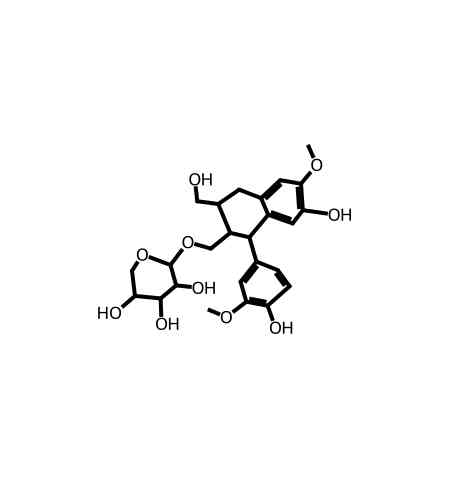 COc1cc(C2c3cc(O)c(OC)cc3CC(CO)C2COC2OCC(O)C(O)C2O)ccc1O